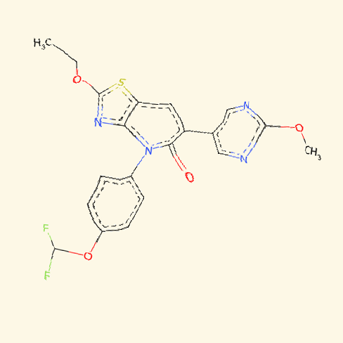 CCOc1nc2c(cc(-c3cnc(OC)nc3)c(=O)n2-c2ccc(OC(F)F)cc2)s1